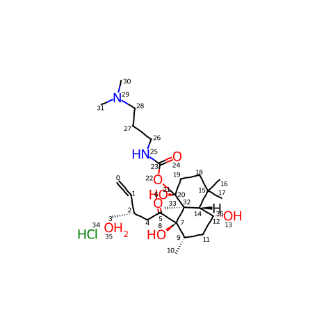 C=C[C@@H](C)CC(=O)[C@@]1(O)[C@@H](C)C[C@@H](O)[C@H]2C(C)(C)CC[C@@](O)(OC(=O)NCCCN(C)C)[C@@]21C.Cl.O